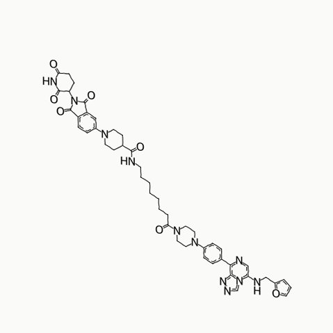 O=C1CCC(N2C(=O)c3ccc(N4CCC(C(=O)NCCCCCCCC(=O)N5CCN(c6ccc(-c7ncc(NCc8ccco8)n8cnnc78)cc6)CC5)CC4)cc3C2=O)C(=O)N1